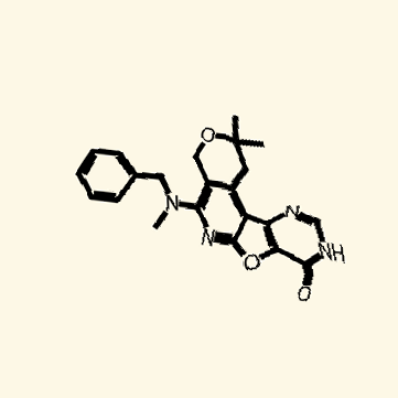 CN(Cc1ccccc1)c1nc2oc3c(=O)[nH]cnc3c2c2c1COC(C)(C)C2